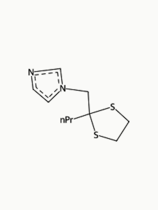 CCCC1(Cn2ccnc2)SCCS1